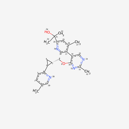 Cc1ccc(C2C[C@@H]2COc2nc(C)ncc2-c2cnc(C(C)(C)O)cc2C)nc1